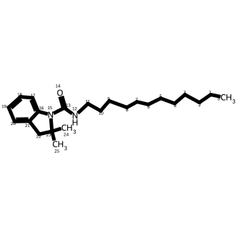 CCCCCCCCCCCCNC(=O)N1c2ccccc2CC1(C)C